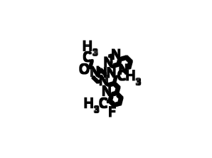 CCC(=O)N1CCN(c2nc3c(C)c(F)ccc3cc2[C@H](C)Nc2ncnc3cccnc23)CC1